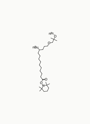 CCCCC(CCCCCCCCCC(=O)ON1C(C)(C)CCCC1(C)C)CCCOCC(C)(C)OCCC